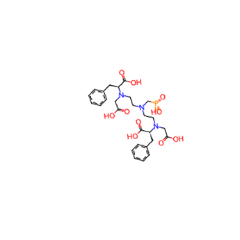 O=C(O)CN(CCN(CCN(CC(=O)O)[C@@H](Cc1ccccc1)C(=O)O)C[PH](=O)O)[C@@H](Cc1ccccc1)C(=O)O